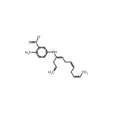 C=CC/C(=C\C/C=C\C/C=C\C)Pc1ccc(C)c([N+](=O)[O-])c1